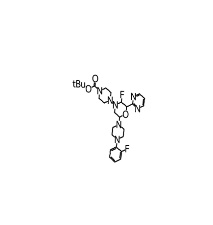 CC(C)(C)OC(=O)N1CCN(N2CC(N3CCN(c4ccccc4F)CC3)OC(c3ncccn3)C2F)CC1